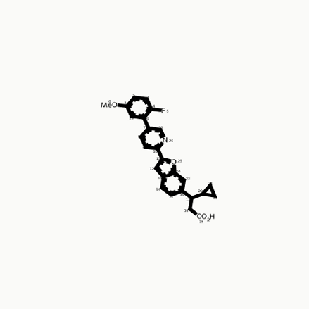 COc1ccc(F)c(-c2ccc(-c3cc4ccc(C(CC(=O)O)C5CC5)cc4o3)nc2)c1